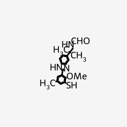 COc1c(S)cc(C)cc1-c1nc2cc(C(C)(C)CNC=O)ccc2[nH]1